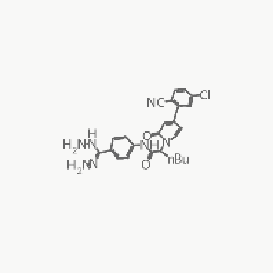 CCCCC(C(=O)Nc1ccc(/C(=N/N)NN)cc1)n1ccc(-c2cc(Cl)ccc2C#N)cc1=O